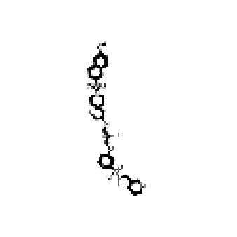 COc1ccc2cc(S(=O)(=O)N3CCC4(CC3)CC(NC[C@H](O)COc3cccc(S(=O)(=O)NCC5CCCNC5)c3)CO4)ccc2c1